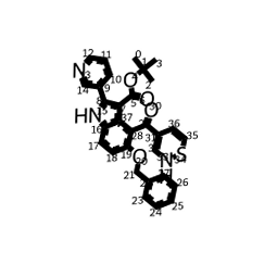 CC(C)(C)OC(=O)c1c(-c2cccnc2)[nH]c2ccc(OCc3ccccc3)c(C(=O)C3=CNSC=C3)c12